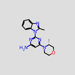 Cc1nc2ccccc2n1-c1nc(N)cc(N2CCOC[C@H]2C)n1